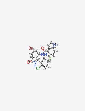 Cn1ccc2c(C(=O)Nc3cc(Br)cc4c3C(c3cc(F)ccc3Cl)NC4=O)cccc21